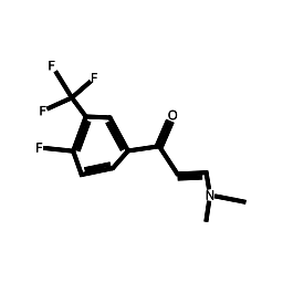 CN(C)C=CC(=O)c1ccc(F)c(C(F)(F)F)c1